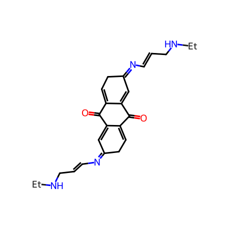 CCNCC=CN=C1C=C2C(=O)C3=CCC(=NC=CCNCC)C=C3C(=O)C2=CC1